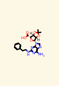 CC1(C)O[C@@H]2[C@H](O1)[C@@H](C(=O)O)O[C@H]2n1cnc2c(N)nc(NCCc3ccccc3)nc21